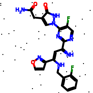 N=C(/C=C(\NCc1ccccc1F)c1ccon1)c1ncc(F)c(-n2cc(CC(N)=O)c(=O)[nH]2)n1